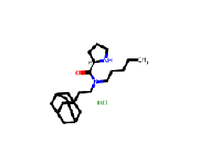 CCCCCN(CCC12CC3CC(CC(C3)C1)C2)C(=O)[C@H]1CCCN1.Cl